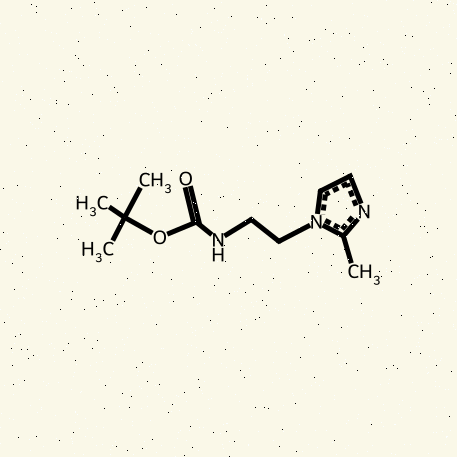 Cc1nccn1CCNC(=O)OC(C)(C)C